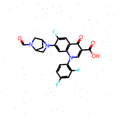 O=CN1CC2CC1CN2c1cc2c(cc1F)c(=O)c(C(=O)O)cn2-c1ccc(F)cc1F